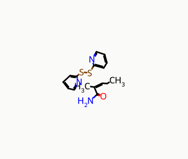 CCC=C(C)C(N)=O.c1ccc(SSc2ccccn2)nc1